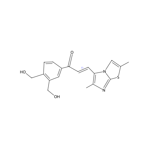 Cc1cn2c(/C=C/C(=O)c3ccc(CO)c(CO)c3)c(C)nc2s1